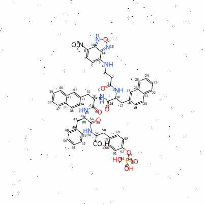 O=C(CCNc1ccc([N+](=O)[O-])c2nonc12)NC(Cc1ccc2ccccc2c1)C(=O)NC(Cc1ccc2ccccc2c1)C(=O)N[C@H](Cc1ccccc1)C(=O)NC(Cc1ccc(OP(=O)(O)O)cc1)C(=O)O